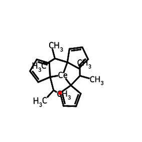 CC(C)[C]1([Ce]([C]2(C(C)C)C=CC=C2)[C]2(C(C)C)C=CC=C2)C=CC=C1